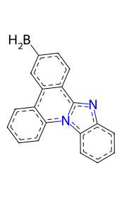 Bc1ccc2c(c1)c1ccccc1n1c3ccccc3nc21